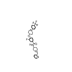 O=C(NC1CCN(Cc2ccccn2)CC1)c1ccc(OC2CCN(c3ccc(C(F)(F)F)cc3)CC2)c(F)c1